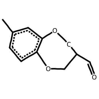 Cc1ccc2c(c1)OCC(C=O)CO2